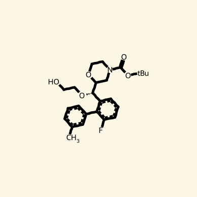 Cc1cccc(-c2c(F)cccc2[C@H](OCCO)C2CN(C(=O)OC(C)(C)C)CCO2)c1